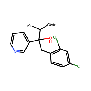 COC(C(C)C)C(O)(Cc1ccc(Cl)cc1Cl)c1cccnc1